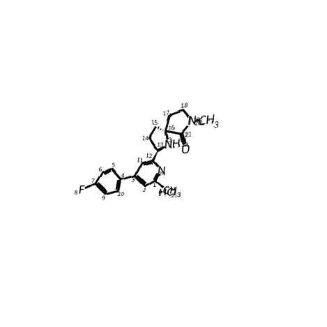 Cc1cc(-c2ccc(F)cc2)cc([C@H]2CC[C@@]3(CCN(C)C3=O)N2)n1.Cl